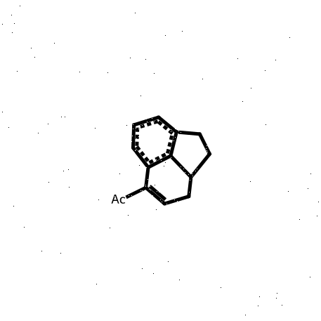 CC(=O)C1=CCC2CCc3cccc1c32